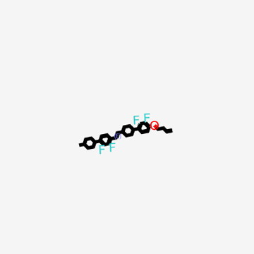 C=CCCOc1ccc(C2CCC(/C=C/c3ccc(C4CCC(C)CC4)c(F)c3F)CC2)c(F)c1F